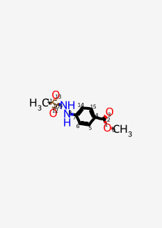 COC(=O)c1ccc(NNS(C)(=O)=O)cc1